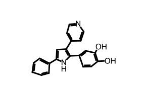 Oc1ccc(-c2[nH]c(-c3ccccc3)cc2-c2ccncc2)cc1O